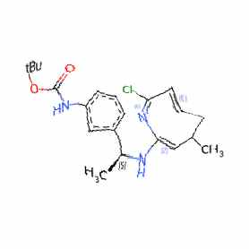 CC1\C=C(N[C@@H](C)c2cccc(NC(=O)OC(C)(C)C)c2)/N=C(Cl)\C=C\C1